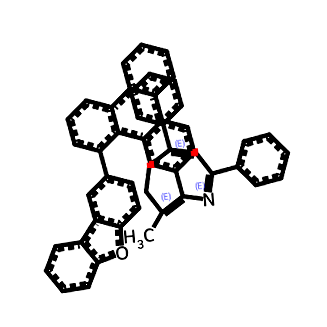 C\C1=C(c2ccc3c4ccccc4c4cccc(-c5ccc6oc7ccccc7c6c5)c4c3c2)/N=C(c2ccccc2)\C=C(\c2ccccc2)CC1